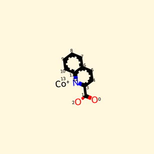 O=C([O-])c1ccc2ccccc2n1.[Co+]